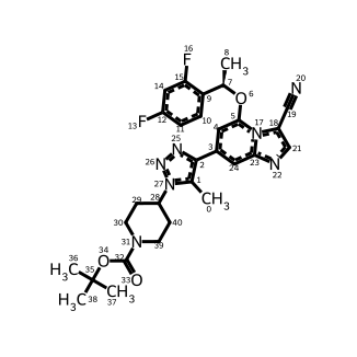 Cc1c(-c2cc(O[C@H](C)c3ccc(F)cc3F)n3c(C#N)cnc3c2)nnn1C1CCN(C(=O)OC(C)(C)C)CC1